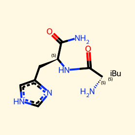 CC[C@H](C)[C@H](N)C(=O)N[C@@H](Cc1c[nH]cn1)C(N)=O